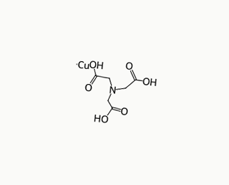 O=C(O)CN(CC(=O)O)CC(=O)O.[Cu]